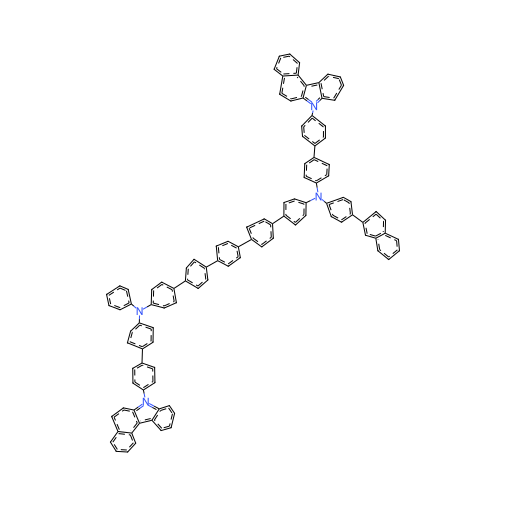 c1ccc(N(c2ccc(-c3ccc(-c4ccc(-c5ccc(-c6ccc(N(c7ccc(-c8ccc(-n9c%10ccccc%10c%10c%11ccccc%11ccc%109)cc8)cc7)c7ccc(-c8ccc9ccccc9c8)cc7)cc6)cc5)cc4)cc3)cc2)c2ccc(-c3ccc(-n4c5ccccc5c5c6ccccc6ccc54)cc3)cc2)cc1